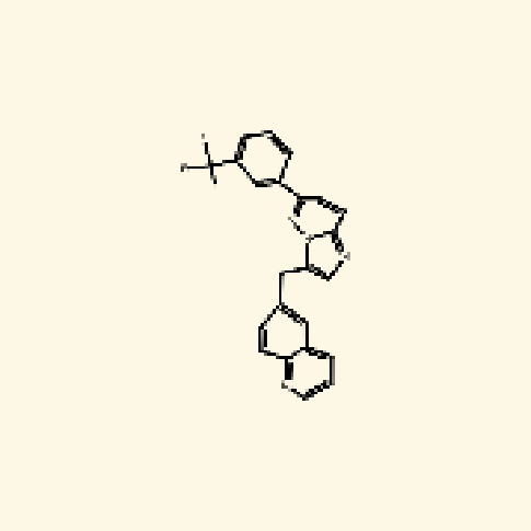 FC(F)(F)c1cccc(-c2ccc3ncc(Cc4ccc5ncccc5c4)n3n2)c1